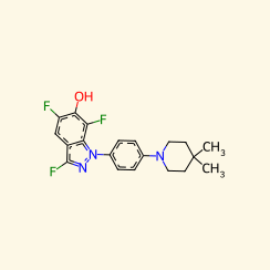 CC1(C)CCN(c2ccc(-n3nc(F)c4cc(F)c(O)c(F)c43)cc2)CC1